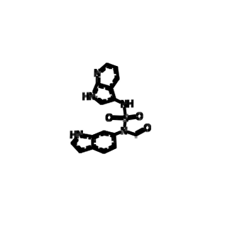 O=[C]N(c1ccc2cc[nH]c2c1)S(=O)(=O)Nc1c[nH]c2ncccc12